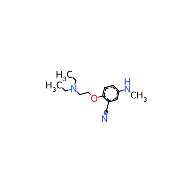 CCN(CC)CCOc1ccc(NC)cc1C#N